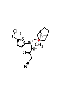 COc1ccc([C@H](CCN2C3CCC2CC(C)C3)NC(=O)CC#N)s1